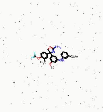 CCOc1cc(Nc2cccc(OC)c2)cc(C2(c3ccc(OC(F)F)c(C)c3)COC(N)=N2)c1